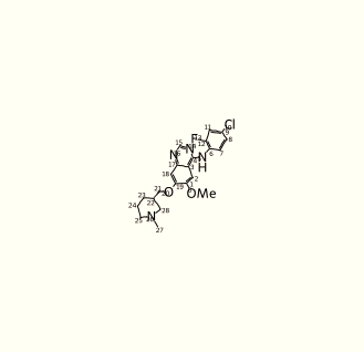 COc1cc2c(Nc3ccc(Cl)cc3F)ncnc2cc1OC[C@@H]1CCCN(C)C1